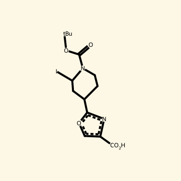 CC(C)(C)OC(=O)N1CCC(c2nc(C(=O)O)co2)CC1I